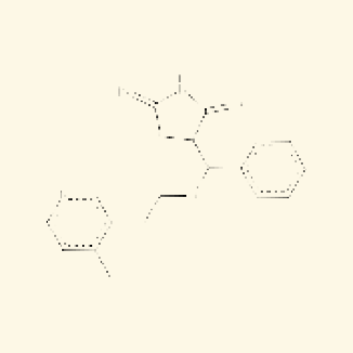 Cc1ccncc1CCOC(c1ccccc1)C1SC(=N)NC1=O